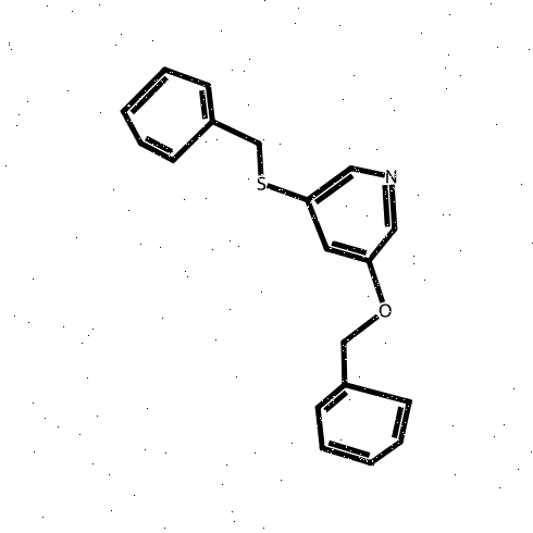 c1ccc(COc2cncc(SCc3ccccc3)c2)cc1